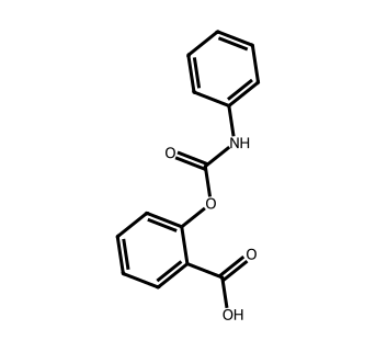 O=C(Nc1ccccc1)Oc1ccccc1C(=O)O